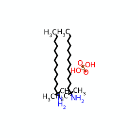 CCCCCCCCCCCCCC(C)(C)N.CCCCCCCCCCCCCC(C)(C)N.O=S(=O)(O)O